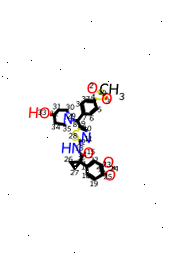 CS(=O)(=O)c1ccc(C(c2cnc(NC(=O)C3(c4ccc5c(c4)OCO5)CC3)s2)N2CCC(O)CC2)cc1